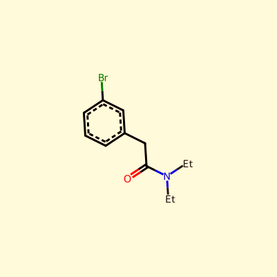 CCN(CC)C(=O)Cc1cccc(Br)c1